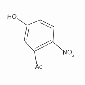 CC(=O)c1cc(O)ccc1[N+](=O)[O-]